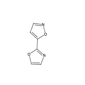 c1cc(-c2ncco2)on1